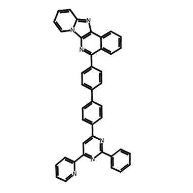 c1ccc(-c2nc(-c3ccc(-c4ccc(-c5nc6c(nc7ccccn76)c6ccccc56)cc4)cc3)cc(-c3ccccn3)n2)cc1